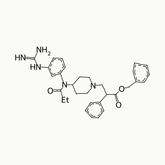 CCC(=O)N(c1cccc(NC(=N)N)c1)C1CCN(CC(C(=O)OCc2ccccc2)c2ccccc2)CC1